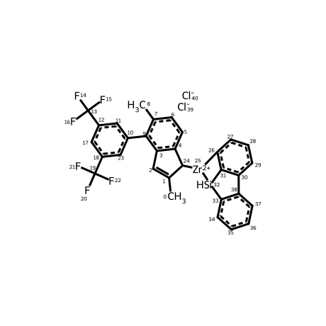 CC1=Cc2c(ccc(C)c2-c2cc(C(F)(F)F)cc(C(F)(F)F)c2)[CH]1[Zr+2]1[c]2cccc3c2[SiH]1c1ccccc1-3.[Cl-].[Cl-]